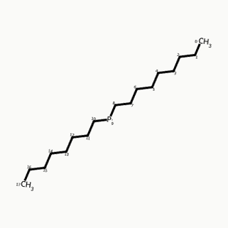 CCCCCCCCC[P]CCCCCCCC